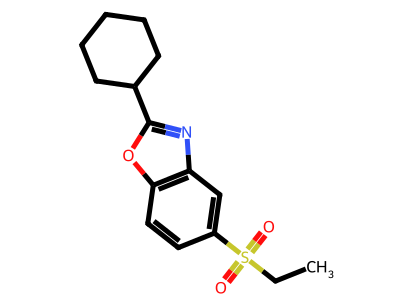 CCS(=O)(=O)c1ccc2oc(C3CCCCC3)nc2c1